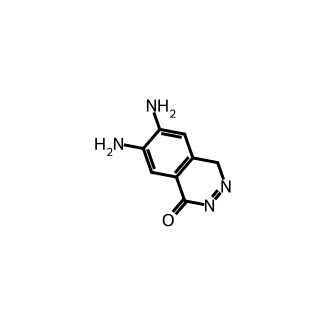 Nc1cc2c(cc1N)C(=O)N=NC2